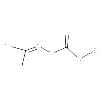 CCNC(=S)NN=C(C)C(C)=O